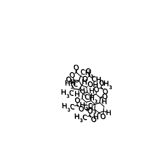 CC(=O)O[C@H]1C(=O)[C@H]2C[C@@H]3O[C@@H]3[C@H](OC(C)=O)[C@]2(C)C2[C@@H]1[C@@H]1[C@@H](O)[C@@H]3[C@H]([C@H](C)[C@@H]4O[C@@]45OC(=O)[C@@](C)(OC(C)=O)[C@]35C)[C@@]1(C)[C@@H](OC(C)=O)[C@H]2C